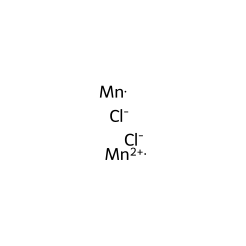 [Cl-].[Cl-].[Mn+2].[Mn]